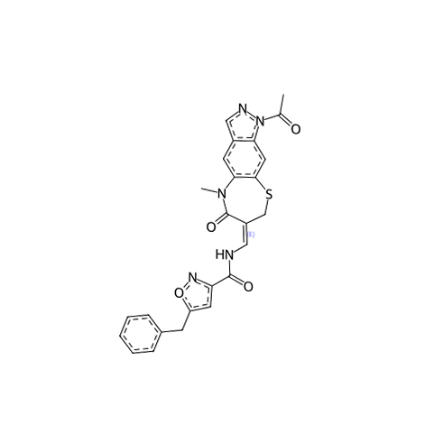 CC(=O)n1ncc2cc3c(cc21)SC/C(=C/NC(=O)c1cc(Cc2ccccc2)on1)C(=O)N3C